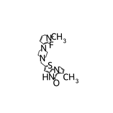 Cc1ccn2c1c(=O)[nH]c1cc(CN3CCN(C4=C(F)N(C)CC=C4)CC3)sc12